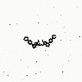 CCC1=Cc2c(-c3ccc(C4CCCCC4)cc3)cccc2C1C[SiH2]CC1C(CC)=Cc2c(-c3ccc(C4CCCCC4)cc3)cccc21